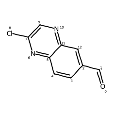 O=[C]c1ccc2nc(Cl)cnc2c1